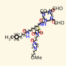 COCCCCN1CCN(C(=O)CCCN2C(=O)CC(SC(CCCCCNC(=O)CCCc3ccc(C)cc3)CNC(=O)CN3CCN(COC=O)CCN(COC=O)CCN(CC(=O)O)CC3)C2=O)CC1